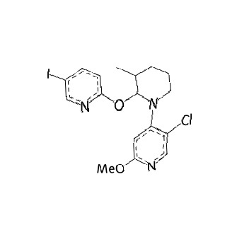 COc1cc(N2CCCC(C)C2Oc2ccc(I)cn2)c(Cl)cn1